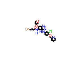 O=C(/C=C/CBr)Nc1cc2c(Nc3ccc(OCc4ccccn4)c(Cl)c3)ncnc2cc1O[C@H]1CCOC1